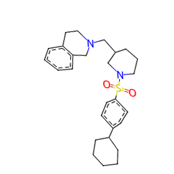 O=S(=O)(c1ccc(C2CCCCC2)cc1)N1CCCC(CN2CCc3ccccc3C2)C1